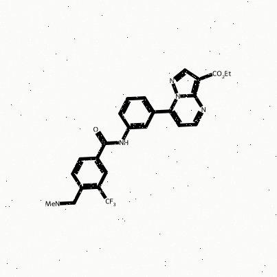 CCOC(=O)c1cnn2c(-c3cccc(NC(=O)c4ccc(CNC)c(C(F)(F)F)c4)c3)ccnc12